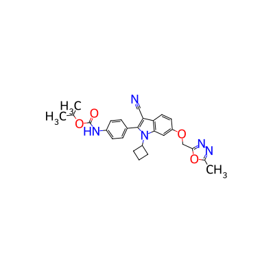 Cc1nnc(COc2ccc3c(C#N)c(-c4ccc(NC(=O)OC(C)C)cc4)n(C4CCC4)c3c2)o1